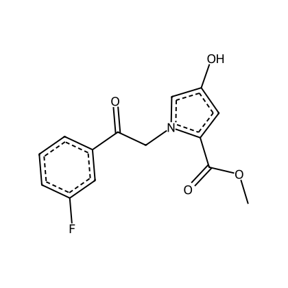 COC(=O)c1cc(O)cn1CC(=O)c1cccc(F)c1